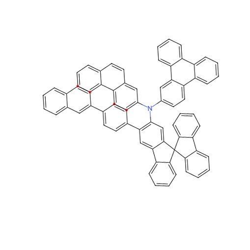 c1ccc2c(c1)-c1ccccc1C21c2ccccc2-c2cc(-c3ccc(-c4ccc5ccccc5c4)cc3)c(N(c3ccc4c(ccc5ccccc54)c3)c3ccc4c5ccccc5c5ccccc5c4c3)cc21